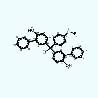 CCOc1ccc(C(CC)(c2ccc(O)c(-c3ccccc3)c2)c2ccc(O)c(-c3ccccc3)c2)cc1